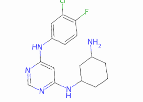 NC1CCCC(Nc2cc(Nc3ccc(F)c(Cl)c3)ncn2)C1